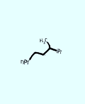 CCCC[CH]C(C)C(C)C